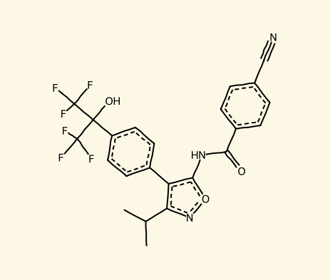 CC(C)c1noc(NC(=O)c2ccc(C#N)cc2)c1-c1ccc(C(O)(C(F)(F)F)C(F)(F)F)cc1